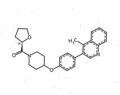 Cc1c(-c2ccc(OC3CCN(C(=O)[C@H]4CCCO4)CC3)cc2)cnc2ccccc12